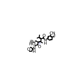 CCC(C)C/C(C(=O)C(O)N[C@H]1CCOC1)=C(/C)C(C(=O)Nc1ccc(F)c(C#N)c1)=C(C)C